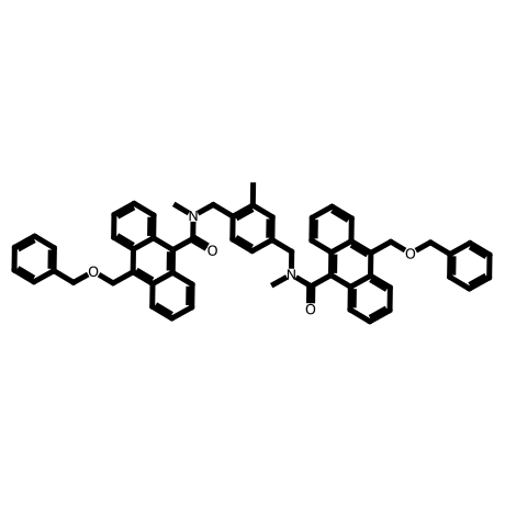 Cc1cc(CN(C)C(=O)c2c3ccccc3c(COCc3ccccc3)c3ccccc23)ccc1CN(C)C(=O)c1c2ccccc2c(COCc2ccccc2)c2ccccc12